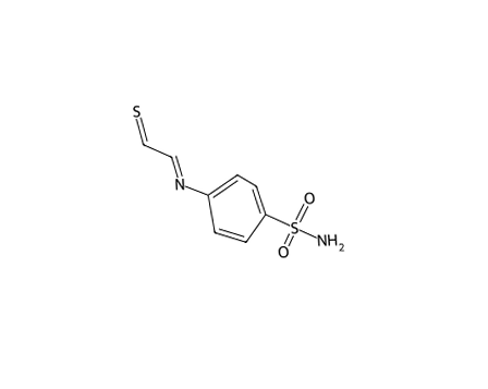 NS(=O)(=O)c1ccc(N=CC=S)cc1